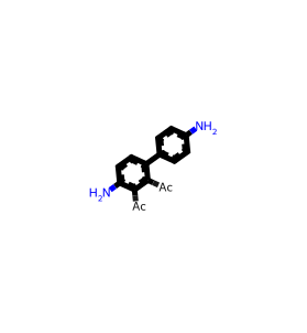 CC(=O)c1c(N)ccc(-c2ccc(N)cc2)c1C(C)=O